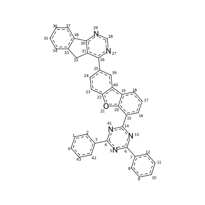 c1ccc(-c2nc(-c3ccccc3)nc(-c3cccc4c3oc3ccc(-c5ncnc6c5Cc5ccccc5-6)cc34)n2)cc1